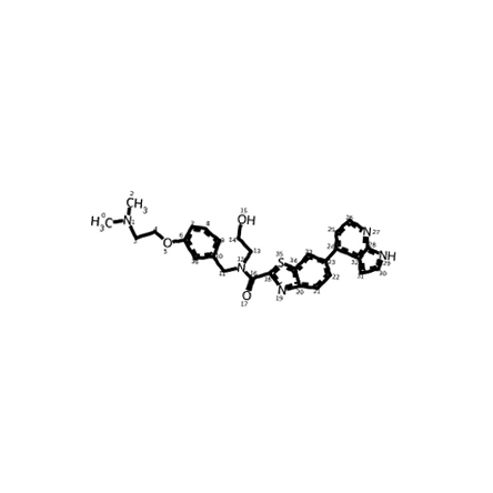 CN(C)CCOc1cccc(CN(CCO)C(=O)c2nc3ccc(-c4ccnc5[nH]ccc45)cc3s2)c1